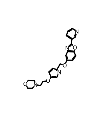 c1cncc(-c2nc3cc(OCc4ccc(OCCN5CCOCC5)cn4)ccc3o2)c1